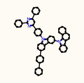 c1ccc(-c2ccc(-c3ccc4c(c3)c3cc(-n5c6ccccc6c6ccc7ccccc7c65)ccc3n4-c3ccc(-c4cc(-c5ccccc5)nc(-c5ccccc5)n4)cc3)cc2)cc1